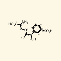 NC(COC(=O)N(O)c1cccc(S(=O)(=O)O)c1)C(=O)O